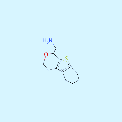 NCC1OCCc2c1sc1c2CCCC1